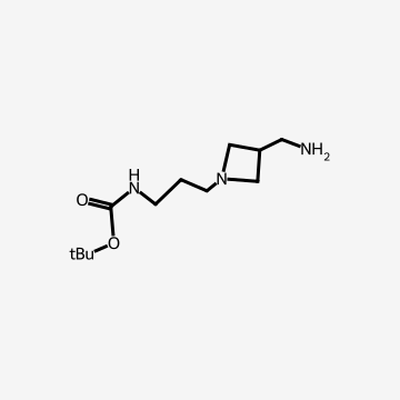 CC(C)(C)OC(=O)NCCCN1CC(CN)C1